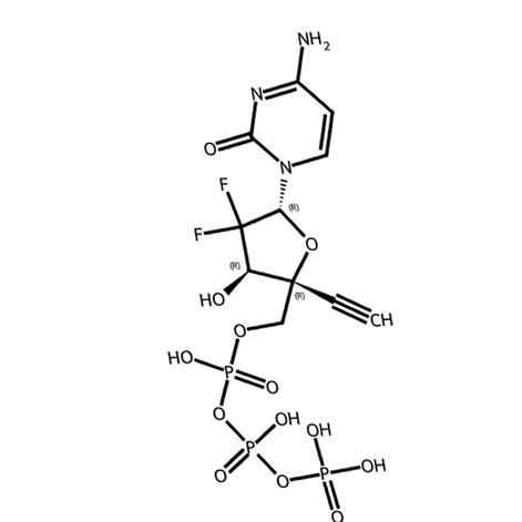 C#C[C@]1(COP(=O)(O)OP(=O)(O)OP(=O)(O)O)O[C@@H](n2ccc(N)nc2=O)C(F)(F)[C@@H]1O